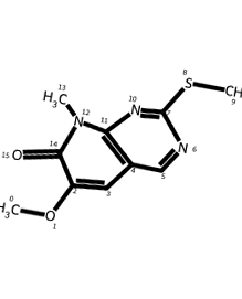 COc1cc2cnc(SC)nc2n(C)c1=O